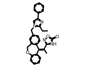 CCc1nc(-c2ccccc2)cn1Cc1ccc2c(c1)COc1ccccc1/C2=C(\C)c1noc(=O)[nH]1